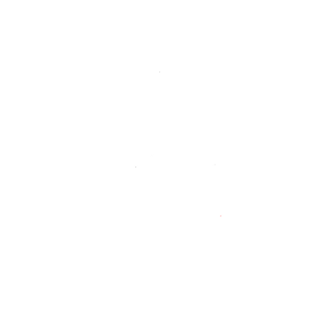 CC(CSCCO)CC(C)(C)CC(C)(C)c1cc(C(C)(C)C)cc(C(C)(C)CC(C)(C)CC(C)CSCCO)c1